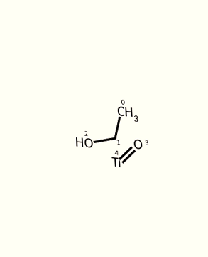 CCO.[O]=[Ti]